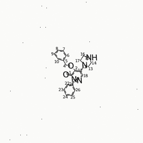 O=c1c(OCc2ccccc2)c(N2CCNCC2)cnn1-c1ccccc1